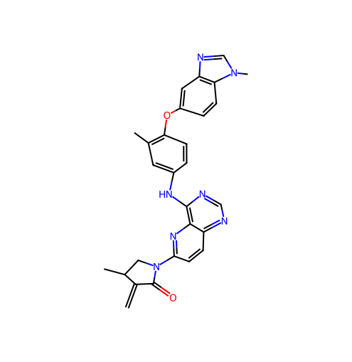 C=C1C(=O)N(c2ccc3ncnc(Nc4ccc(Oc5ccc6c(c5)ncn6C)c(C)c4)c3n2)CC1C